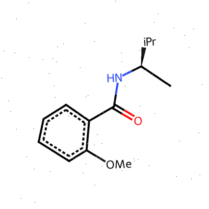 COc1ccccc1C(=O)N[C@H](C)C(C)C